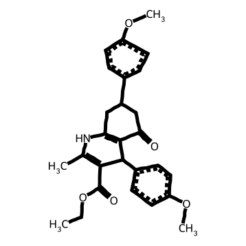 CCOC(=O)C1=C(C)NC2=C(C(=O)CC(c3ccc(OC)cc3)C2)C1c1ccc(OC)cc1